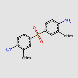 CCCCCCc1cc(S(=O)(=O)c2ccc(N)c(CCCCCC)c2)ccc1N